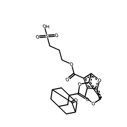 O=C(OCCCS(=O)(=O)O)c1c2c3oc1c(OC(=O)C14CC5CC(C1)C(=O)C(C5)C4)c3OC2